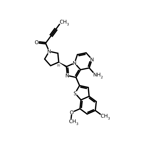 CC#CC(=O)N1CC[C@H](c2nc(-c3cc4cc(C)cc(OC)c4s3)c3c(N)nccn23)C1